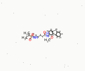 COc1c(NC(=O)CCCCNS(=O)(=O)C(C)C)ccc2c1-c1ccccc1C2